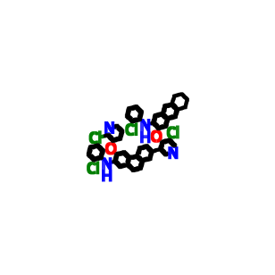 Clc1ccccc1Nc1cc2ccc3cc(-c4cncc(Cl)c4Oc4cc5cc6c(cc5cc4Nc4ccccc4Cl)CCCC6)ccc3c2cc1Oc1cccnc1Cl